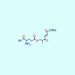 COC(=O)/C=C/C(=O)C(C)COC(=O)CCC(N)C(=O)C(C)C